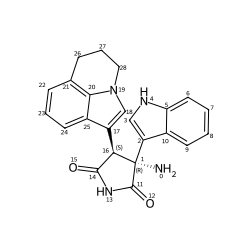 N[C@]1(c2c[nH]c3ccccc23)C(=O)NC(=O)[C@H]1c1cn2c3c(cccc13)CCC2